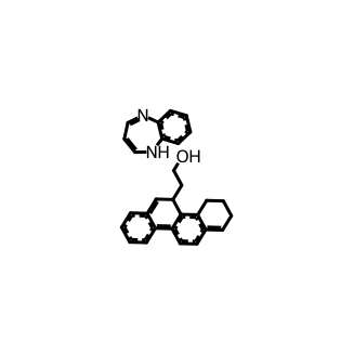 C1=CNc2ccccc2N=C1.OCCC1C=c2ccccc2=c2ccc3c(c21)CCCC=3